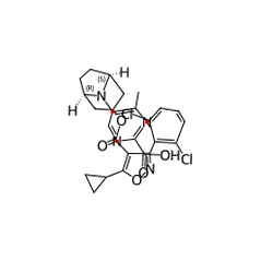 Cc1nc(C(=O)O)ncc1N1[C@@H]2CC[C@H]1CC(OC(=O)c1c(-c3c(Cl)cccc3Cl)noc1C1CC1)C2